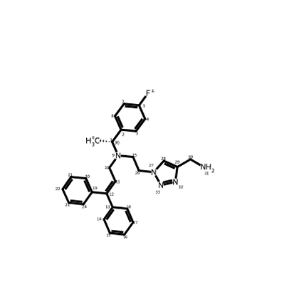 C[C@H](c1ccc(F)cc1)N(CC=C(c1ccccc1)c1ccccc1)CCn1cc(CN)nn1